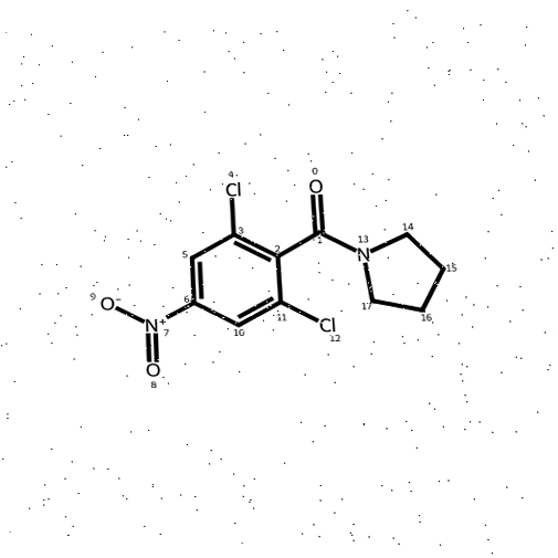 O=C(c1c(Cl)cc([N+](=O)[O-])cc1Cl)N1CCCC1